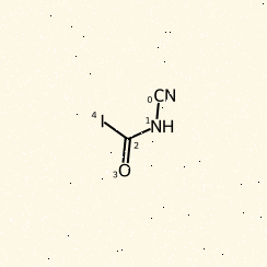 N#CNC(=O)I